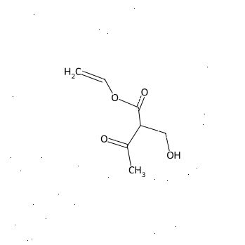 C=COC(=O)C(CO)C(C)=O